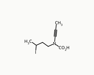 CC#CN(CCC(C)I)C(=O)O